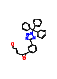 O=CC=CC1OC1c1cccc(-c2nnn(C(c3ccccc3)(c3ccccc3)c3ccccc3)n2)c1